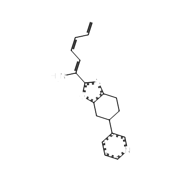 C=C/C=C\C=C(/N)c1nc2c(o1)CC(c1cccnc1)CC2